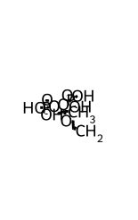 C=CCOC(C)(COP(=O)(O)O)OP(=O)(O)O